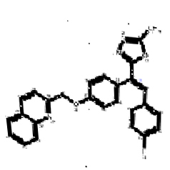 Cc1nnc(/C(=C/c2ccc(F)cc2)c2ccc(OCc3ccc4ccccc4n3)cc2)o1